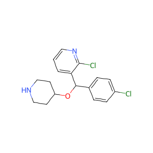 Clc1ccc(C(OC2CCNCC2)c2cccnc2Cl)cc1